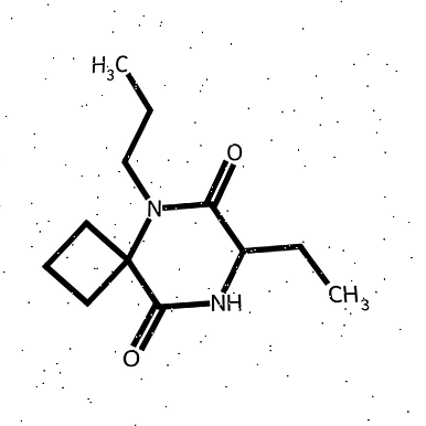 CCCN1C(=O)C(CC)NC(=O)C12CCC2